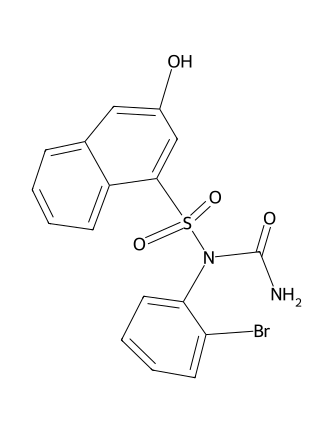 NC(=O)N(c1ccccc1Br)S(=O)(=O)c1cc(O)cc2ccccc12